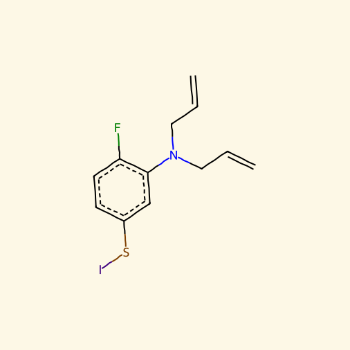 C=CCN(CC=C)c1cc(SI)ccc1F